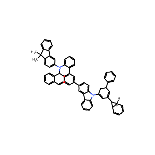 CC1(C)c2ccccc2-c2cc(N(c3ccccc3-c3cccc(-c4ccc5c(c4)c4ccccc4n5C4=CC(C5C6C=CC=C[C@H]65)=CC(c5ccccc5)C4)c3)C3CC=Cc4ccccc43)ccc21